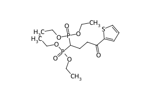 CCOP(=O)(OCC)C(CCC(=O)c1cccs1)P(=O)(OCC)OCC